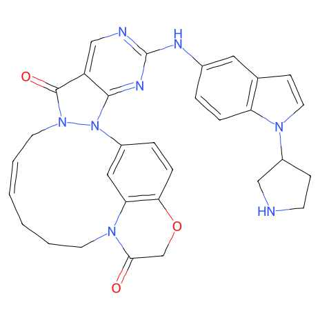 O=C1COc2ccc3cc2N1CCC/C=C\Cn1c(=O)c2cnc(Nc4ccc5c(ccn5C5CCNC5)c4)nc2n1-3